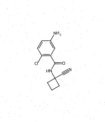 N#CC1(NC(=O)c2cc(N)ccc2Cl)CCC1